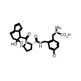 CC(C)(C)N(Cc1ccc(Cl)cc1CNC(=O)[C@@H]1CCCN1C(=O)C1C2=CC=CC2=CCC1(O)O)C(=O)O